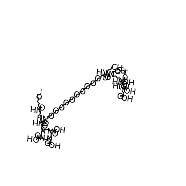 CCCCC(NC(=O)CCOCCOCCOCCOCCOCCOCCOCCOCCOCCOCCNC(=O)[C@H](CCCCNC(=O)CCCc1ccc(I)cc1)NC(=O)CN1CCN(CC(=O)O)CCN(CC(=O)O)CCN(CC(=O)O)CC1)C(=O)N(CCCC[C@H](NC(=O)N[C@@H](CCC(=O)O)C(=O)O)C(=O)O)Cc1ccc(Br)cc1